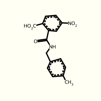 Cc1ccc(CNC(=O)c2cc([N+](=O)[O-])ccc2C(=O)O)cc1